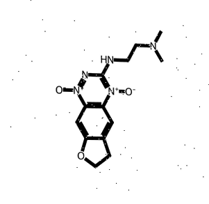 CN(C)CCNc1n[n+]([O-])c2cc3c(cc2[n+]1[O-])CCO3